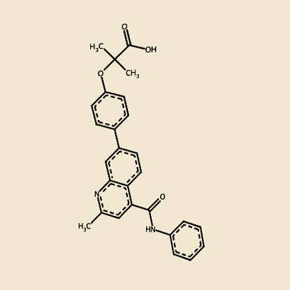 Cc1cc(C(=O)Nc2ccccc2)c2ccc(-c3ccc(OC(C)(C)C(=O)O)cc3)cc2n1